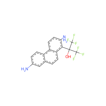 Nc1ccc2c(ccc3c(C(O)(C(F)(F)F)C(F)(F)F)c(N)ccc32)c1